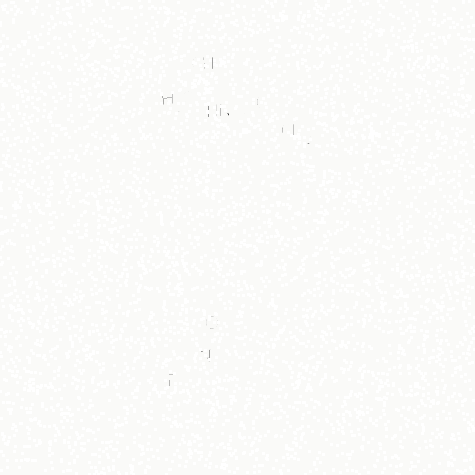 CC(C=CCCCCCCCOc1ccc2cccc(F)c2n1)=CC(=O)NCC(C)C